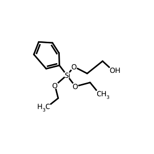 CCO[Si](OCC)(OCCO)c1ccccc1